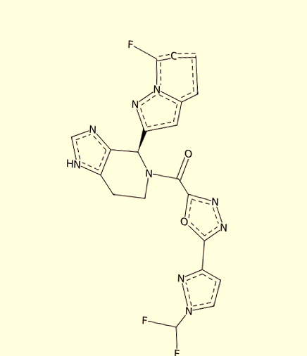 O=C(c1nnc(-c2ccn(C(F)F)n2)o1)N1CCc2[nH]cnc2[C@H]1c1cc2cccc(F)n2n1